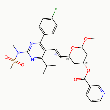 COC1C[C@H](OC(=O)c2cccnc2)C[C@@H](/C=C/c2c(-c3ccc(F)cc3)nc(N(C)S(C)(=O)=O)nc2C(C)C)O1